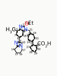 CCOc1nc2c(C)cc(-c3cn4c(n3)CCCC4)cc2n1Cc1ccc(-c2ccccc2C(=O)O)cc1